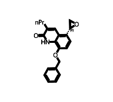 CCCc1cc2c([C@@H]3CO3)ccc(OCc3ccccc3)c2[nH]c1=O